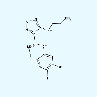 NCCNc1nonc1/C(=N/I)Nc1ccc(F)c(Br)c1